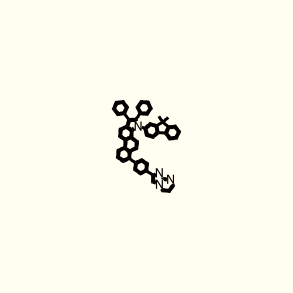 CC1(C)c2ccccc2-c2ccc(-n3c(-c4ccccc4)c(-c4ccccc4)c4ccc5c6cccc(-c7ccc(-c8cn9cccnc9n8)cc7)c6ccc5c43)cc21